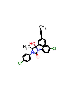 CC#Cc1cccc(C2(O)[C@H](C)N(c3ccc(Cl)cc3)C(=O)N2c2ccc(Cl)cc2)c1